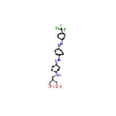 OCC(CO)CNc1ccc(N=Nc2ccc(N=Nc3ccc(C(F)(F)F)cc3)cc2)cc1